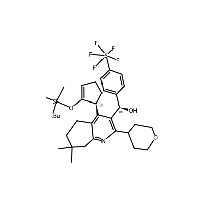 CC1(C)CCc2c(nc(C3CCOCC3)c([C@H](O)c3ccc(S(F)(F)(F)(F)F)cc3)c2[C@@H]2CCC=C2O[Si](C)(C)C(C)(C)C)C1